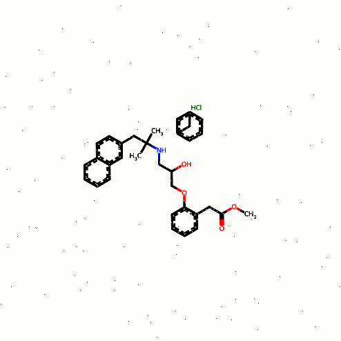 COC(=O)Cc1ccccc1OCC(O)CNC(C)(C)Cc1ccc2ccccc2c1.Cl.c1cc2cc(c1)C2